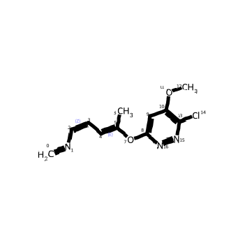 C=N/C=C\C=C(/C)Oc1cc(OC)c(Cl)nn1